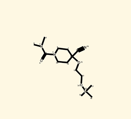 CN(C)C(=O)N1CCC(C#N)(OCCO[Si](C)(C)C)CC1